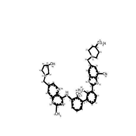 Cc1nc(Nc2cccc(-c3cccc(-c4nc5cc(CN6CCC(C(=O)O)CC6)cc(C#N)c5o4)c3C)c2C)c2ncc(CN3CC[C@@H](O)C3)cc2n1